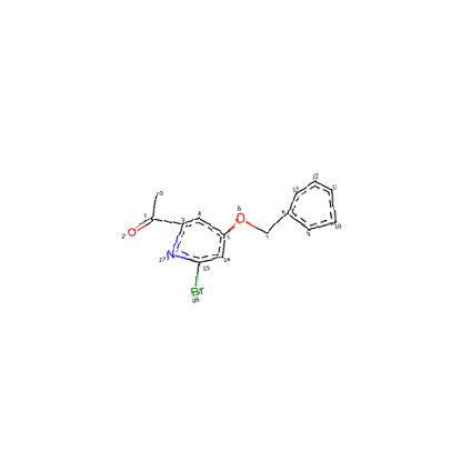 CC(=O)c1cc(OCc2ccccc2)cc(Br)n1